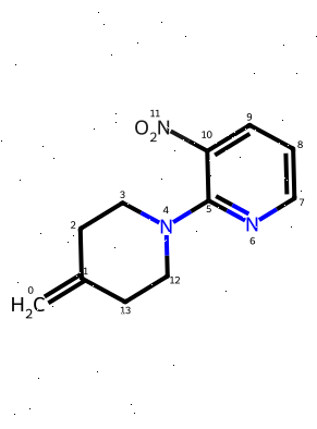 C=C1CCN(c2ncccc2[N+](=O)[O-])CC1